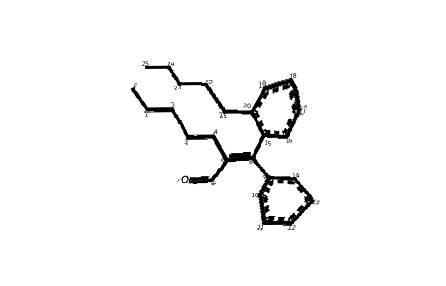 CCCCCC(C=O)=C(c1ccccc1)c1ccccc1CCCCC